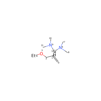 C=C(COCC)[SiH](N(C)C)N(C)C